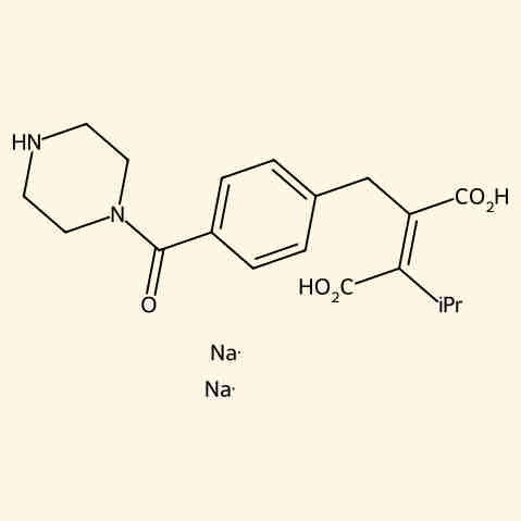 CC(C)C(C(=O)O)=C(Cc1ccc(C(=O)N2CCNCC2)cc1)C(=O)O.[Na].[Na]